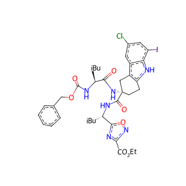 CCOC(=O)c1noc([C@@H](NC(=O)[C@]2(NC(=O)[C@@H](NC(=O)OCc3ccccc3)C(C)CC)CCc3[nH]c4c(I)cc(Cl)cc4c3C2)C(C)CC)n1